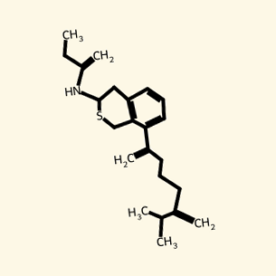 C=C(CC)NC1Cc2cccc(C(=C)CCCC(=C)C(C)C)c2CS1